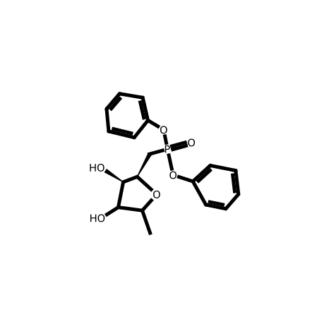 CC1O[C@H](CP(=O)(Oc2ccccc2)Oc2ccccc2)[C@H](O)C1O